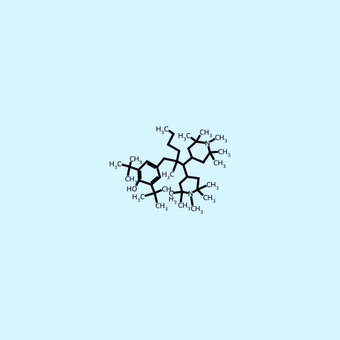 CCCCC(C)(Cc1cc(C(C)(C)C)c(O)c(C(C)(C)C)c1)C(C1CC(C)(C)N(C)C(C)(C)C1)C1CC(C)(C)N(C)C(C)(C)C1